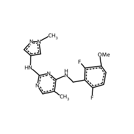 COc1ccc(F)c(CNc2nc(Nc3cnn(C)c3)ncc2C)c1F